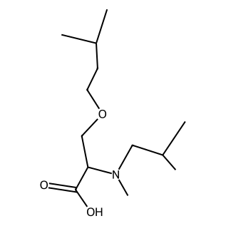 CC(C)CCOCC(C(=O)O)N(C)CC(C)C